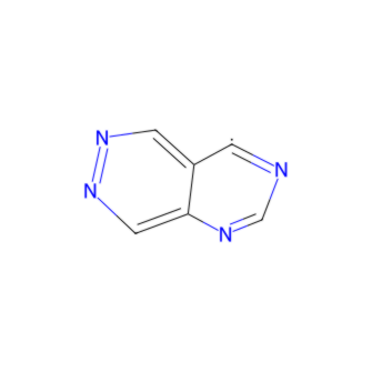 [c]1ncnc2cnncc12